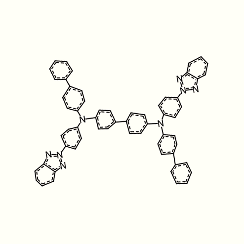 c1ccc(-c2ccc(N(c3ccc(-c4ccc(N(c5ccc(-c6ccccc6)cc5)c5ccc(-n6nc7ccccc7n6)cc5)cc4)cc3)c3ccc(-n4nc5ccccc5n4)cc3)cc2)cc1